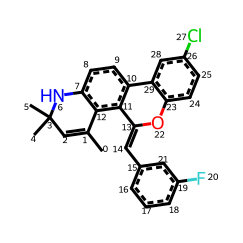 CC1=CC(C)(C)Nc2ccc3c(c21)/C(=C/c1cccc(F)c1)Oc1ccc(Cl)cc1-3